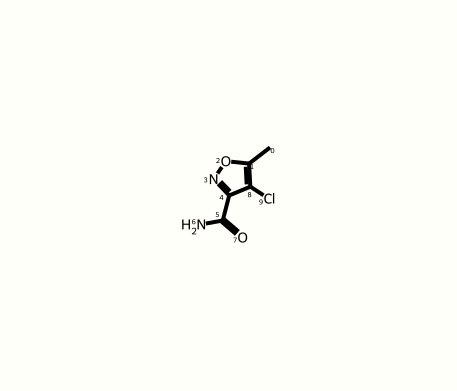 Cc1onc(C(N)=O)c1Cl